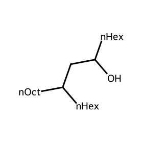 CCCCCCCCC(CCCCCC)CC(O)CCCCCC